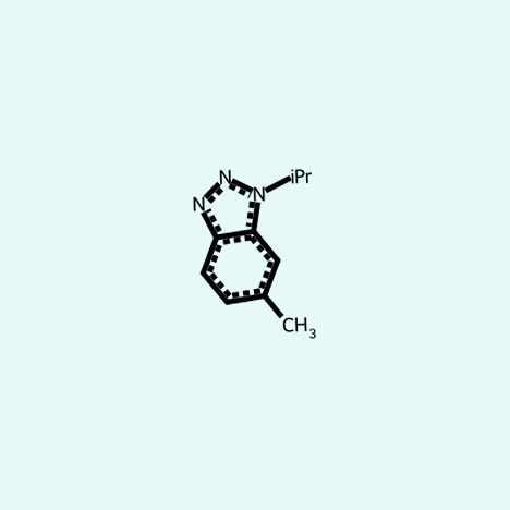 Cc1ccc2nnn(C(C)C)c2c1